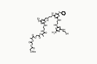 CCSc1nc(CNCCNc2nc(NCCNc3nc(N)nc(NCCS)n3)nc(Sc3ccccc3)n2)nc(NCCNC(=O)C(C)OC(=O)COC(=O)C(C)OC(=O)COC(=O)COC)n1